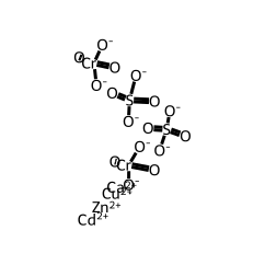 O=S(=O)([O-])[O-].O=S(=O)([O-])[O-].[Ca+2].[Cd+2].[Cu+2].[O]=[Cr](=[O])([O-])[O-].[O]=[Cr](=[O])([O-])[O-].[Zn+2]